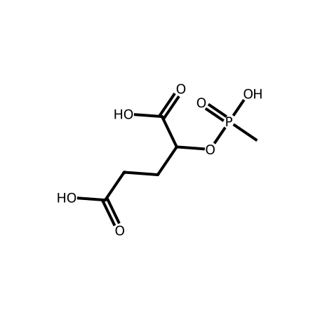 CP(=O)(O)OC(CCC(=O)O)C(=O)O